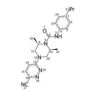 CC(C)c1ccc(NC(=O)N2[C@H](C)CN(c3ccc(C#N)nn3)C[C@@H]2C)cc1